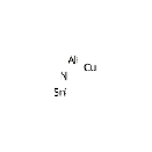 [Al].[Cu].[Ni].[Sn]